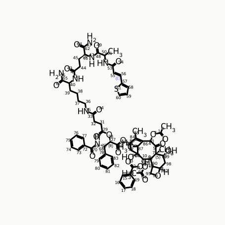 CC(=O)O[C@H]1C(=O)[C@@]2(C)[C@H]([C@H](OC(=O)c3ccccc3)[C@]3(O)C[C@H](OC(=O)[C@H](OC(=O)CCC(=O)NCCCCC(NC(=O)CC[C@H](NC(=O)C(C)NC(=O)/C=C/c4cccs4)C(N)=O)C(N)=O)[C@@H](NC(=O)c4ccccc4)c4ccccc4)C(C)=C1C3(C)C)[C@]1(OC(C)=O)CO[C@@H]1C[C@@H]2O